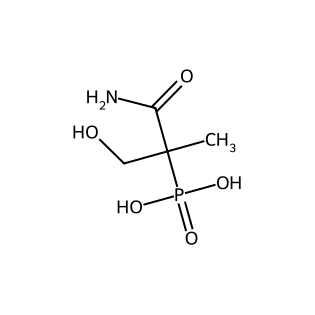 CC(CO)(C(N)=O)P(=O)(O)O